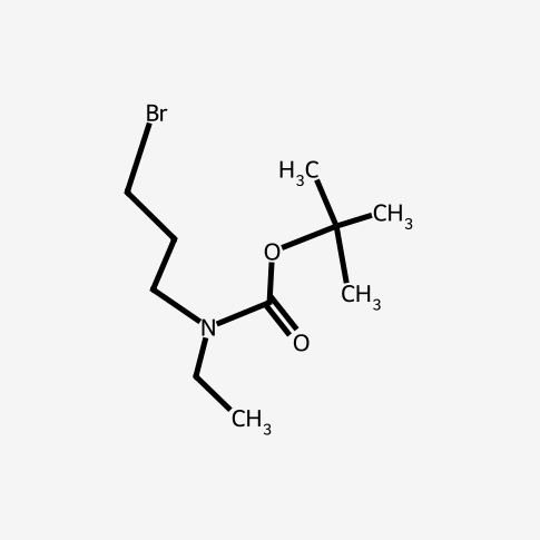 CCN(CCCBr)C(=O)OC(C)(C)C